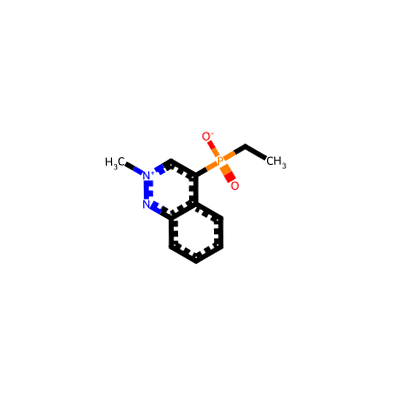 CCP(=O)([O-])c1c[n+](C)nc2ccccc12